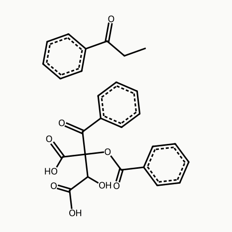 CCC(=O)c1ccccc1.O=C(OC(C(=O)O)(C(=O)c1ccccc1)C(O)C(=O)O)c1ccccc1